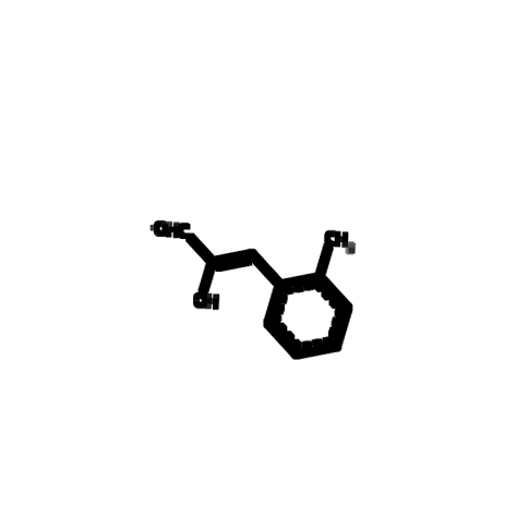 Cc1ccccc1C=C(O)[C]=O